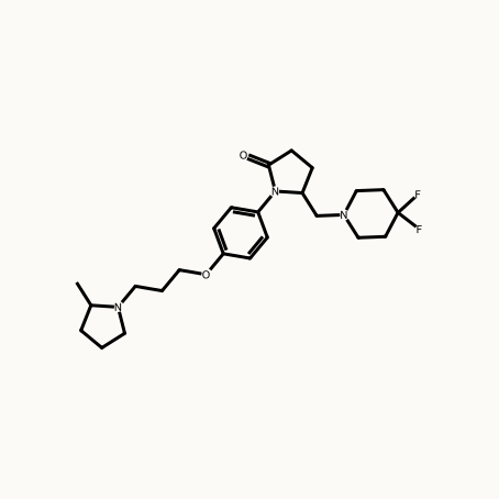 CC1CCCN1CCCOc1ccc(N2C(=O)CCC2CN2CCC(F)(F)CC2)cc1